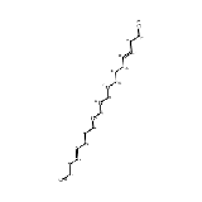 ClCCC=CCCCOCOCOCCCC=CCCCl